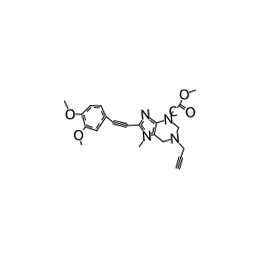 C#CCN1Cc2c(nc(C#Cc3ccc(OC)c(OC)c3)n2C)N(CC(=O)OC)C1